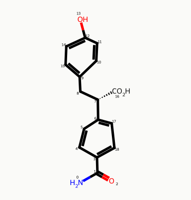 NC(=O)c1ccc([C@H](Cc2ccc(O)cc2)C(=O)O)cc1